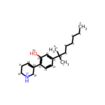 CCCCCCC(C)(C)c1ccc(C2=CCCNC2)c(O)c1